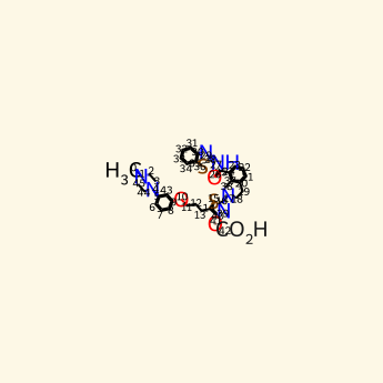 CN1CCN(c2cccc(OCCCc3sc(N4CCc5cccc(C(=O)Nc6nc7ccccc7s6)c5C4)nc3OC(=O)O)c2)CC1